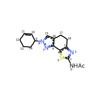 CC(=O)Nc1nc2c(s1)-c1nn(C3C=CCCC3)cc1CC2